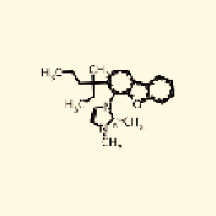 CCCC(C)(CC)c1ccc2c(oc3ccccc32)c1N1C=CN(C)[C@H]1C